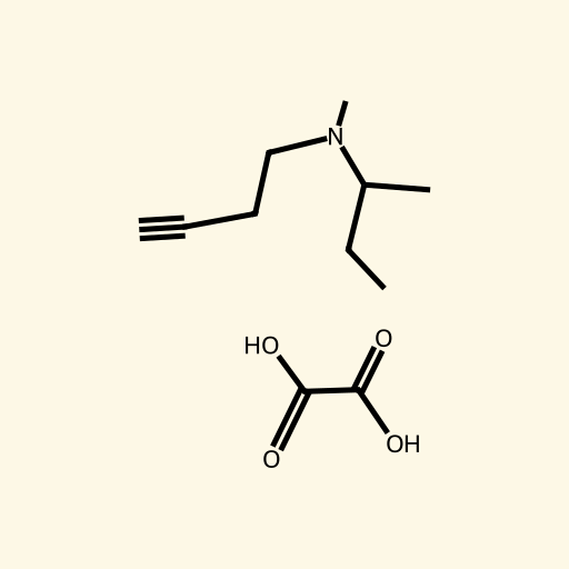 C#CCCN(C)C(C)CC.O=C(O)C(=O)O